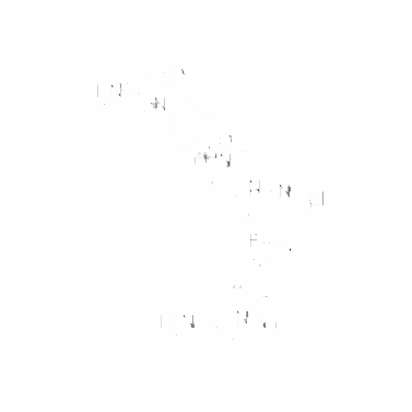 NCC1CN(C(=O)C2CCC(C(F)(F)c3cc(Cl)nc(N4CCN(S(=O)(=O)c5ccc(N6C[C@H](N)CC6=O)cc5)CC4)c3)CC2)C1